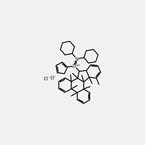 CC1=CC=CC2[CH]([Zr+2]([C]3=CC=CC3)=[Si](C3CCCCC3)C3CCCCC3)C3(C)C4(C)C=CC=CC4(C)C4(C)C=CC=CC4(C)C3(C)C12C.[Cl-].[Cl-]